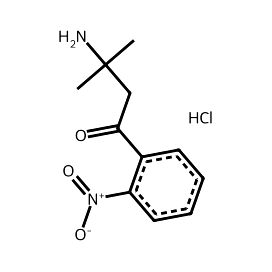 CC(C)(N)CC(=O)c1ccccc1[N+](=O)[O-].Cl